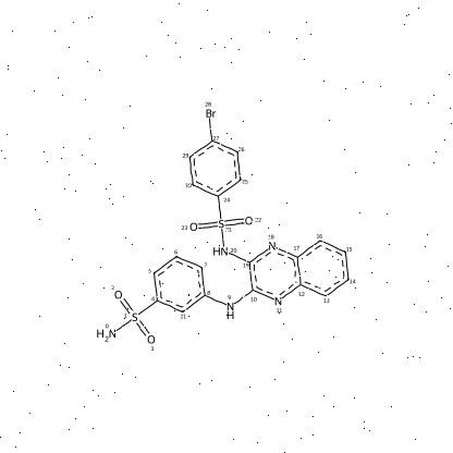 NS(=O)(=O)c1cccc(Nc2nc3ccccc3nc2NS(=O)(=O)c2ccc(Br)cc2)c1